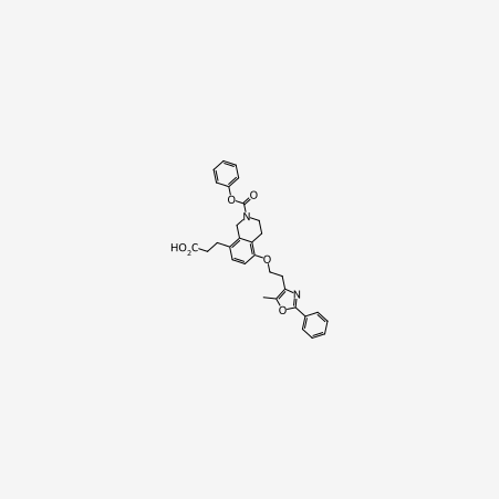 Cc1oc(-c2ccccc2)nc1CCOc1ccc(CCC(=O)O)c2c1CCN(C(=O)Oc1ccccc1)C2